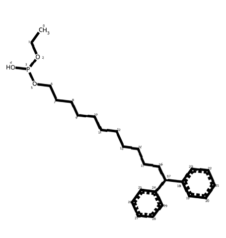 CCOP(O)OCCCCCCCCCCCC(c1ccccc1)c1ccccc1